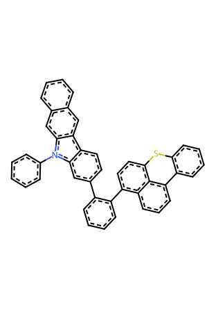 c1ccc(-n2c3cc(-c4ccccc4-c4ccc5c6c(cccc46)-c4ccccc4S5)ccc3c3cc4ccccc4cc32)cc1